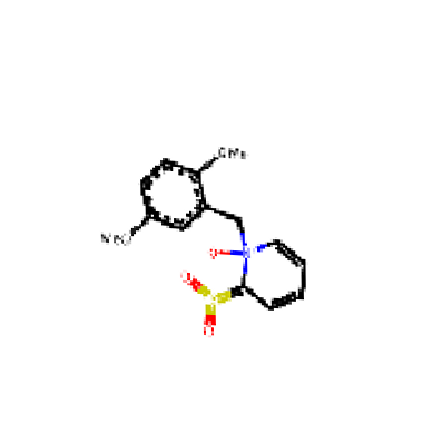 COc1ccc(OC)c(C[N+]2([O-])C=CC=CC2=S(=O)=O)c1